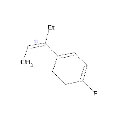 C/C=C(/CC)C1=CC=C(F)CC1